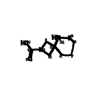 O=C(O)N1CC2(CCCSN2)C1